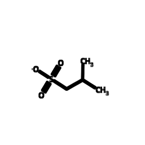 CC(C)CS([O])(=O)=O